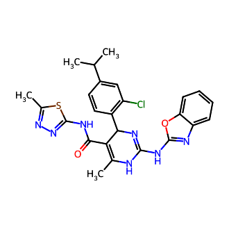 CC1=C(C(=O)Nc2nnc(C)s2)C(c2ccc(C(C)C)cc2Cl)N=C(Nc2nc3ccccc3o2)N1